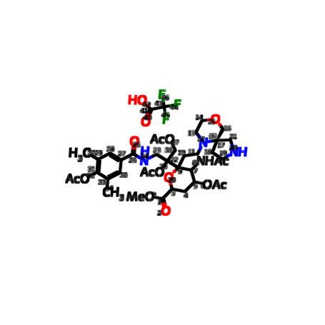 COC(=O)C1CC(OC(C)=O)C(NC(C)=O)C(CCN2CCOC[C@@]23CCNC3)(C(CNC(=O)c2cc(C)c(OC(C)=O)c(C)c2)(COC(C)=O)OC(C)=O)O1.O=C(O)C(F)(F)F